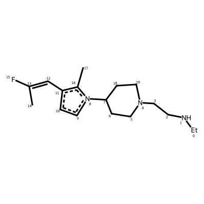 CCNCCN1CCC(n2ccc(/C=C(\C)F)c2C)CC1